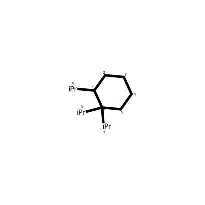 CC(C)C1CCCCC1(C(C)C)C(C)C